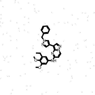 CCc1cc(Nc2ccn3ncc(-c4cnn(Cc5ccccc5)c4)c3n2)cc(OC)c1OC